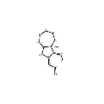 C=C/C=C1/SC2CCCCCC2(C)/C1=C/C